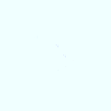 CCC(Cc1ccc(F)cc1)(C(=O)N1CCN(c2cc(Cl)ccc2C)CC1)C(F)(F)F